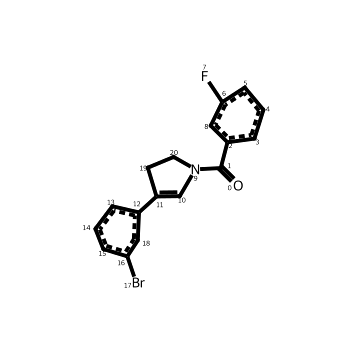 O=C(c1cccc(F)c1)N1C=C(c2cccc(Br)c2)CC1